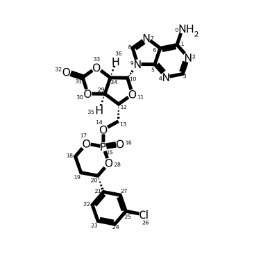 Nc1ncnc2c1ncn2[C@@H]1O[C@H](COP2(=O)OCC[C@@H](c3cccc(Cl)c3)O2)[C@H]2OC(=O)O[C@H]21